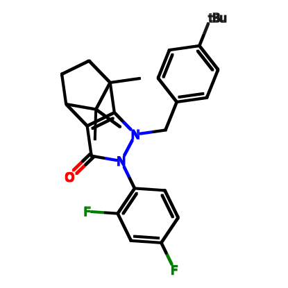 CC(C)(C)c1ccc(Cn2c3c(c(=O)n2-c2ccc(F)cc2F)C2CCC3(C)C2(C)C)cc1